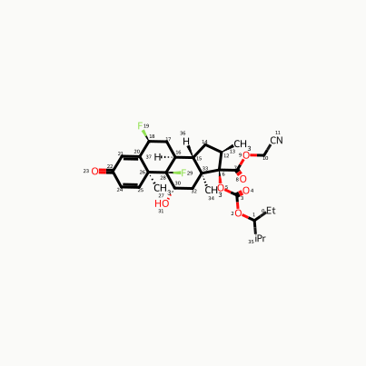 CCC(OC(=O)O[C@]1(C(=O)OCC#N)[C@H](C)C[C@H]2[C@@H]3C[C@H](F)C4=CC(=O)C=C[C@]4(C)[C@@]3(F)[C@@H](O)C[C@@]21C)C(C)C